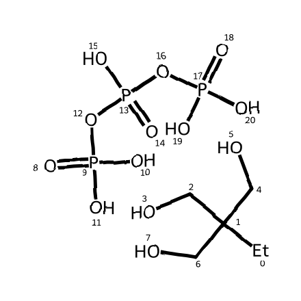 CCC(CO)(CO)CO.O=P(O)(O)OP(=O)(O)OP(=O)(O)O